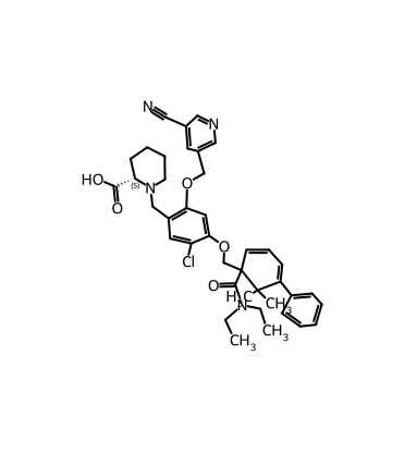 CCN(CC)C(=O)C1(COc2cc(OCc3cncc(C#N)c3)c(CN3CCCC[C@H]3C(=O)O)cc2Cl)C=CC=C(c2ccccc2)C1(C)C